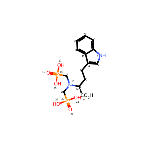 O=C(O)[C@H](CCc1c[nH]c2ccccc12)N(CP(=O)(O)O)CP(=O)(O)O